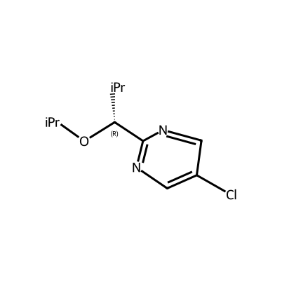 CC(C)O[C@@H](c1ncc(Cl)cn1)C(C)C